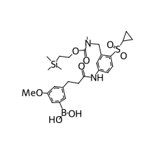 COc1cc(CCC(=O)Nc2ccc(S(=O)(=O)C3CC3)c(CN(C)C(=O)OCC[Si](C)(C)C)c2)cc(B(O)O)c1